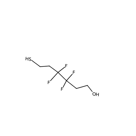 OCCC(F)(F)C(F)(F)CCS